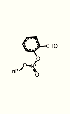 CCCO[N+](=O)Oc1ccccc1C=O